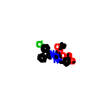 COc1ccc(Cn2nc(N3CC(c4ccccc4)C(c4ccc(Cl)cc4)=N3)n(COC(=O)C(C)(C)C)c2=O)cc1OC